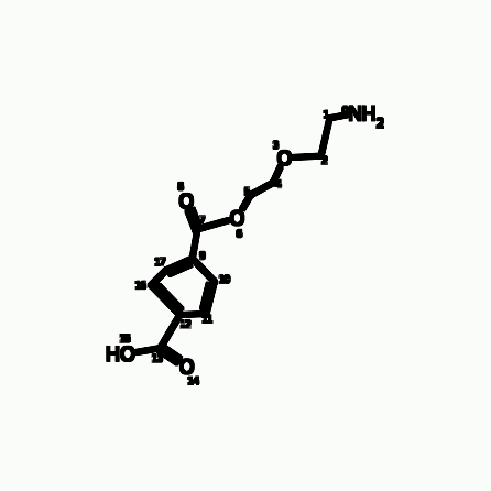 NCCOCCOC(=O)c1ccc(C(=O)O)cc1